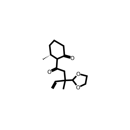 C=CC(C)(CC(=O)C1C(=O)CCC[C@H]1C)C1OCCO1